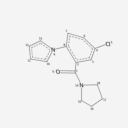 O=C(c1cc(Cl)ccc1-n1cccc1)N1CCCC1